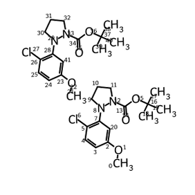 COc1ccc(Cl)c(N2CCCN2C(=O)OC(C)(C)C)c1.COc1ccc(Cl)c(N2CCCN2C(=O)OC(C)(C)C)c1